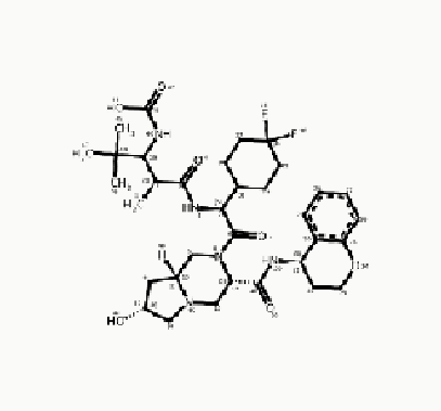 C[C@H](C(=O)N[C@H](C(=O)N1C[C@H]2C[C@@H](O)CN2C[C@H]1C(=O)N[C@@H]1CCOc2ccccc21)C1CCC(F)(F)CC1)C(NC(=O)O)C(C)(C)C